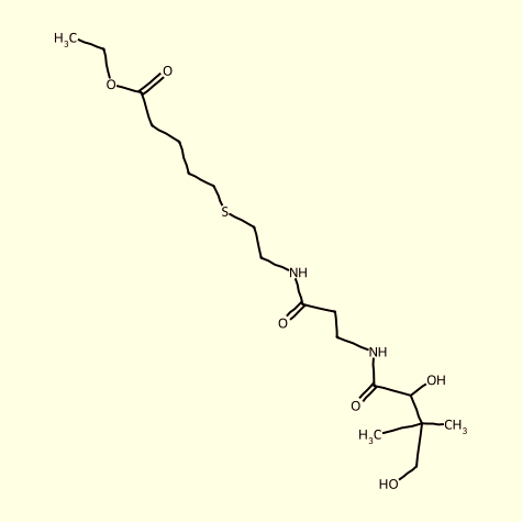 CCOC(=O)CCCCSCCNC(=O)CCNC(=O)C(O)C(C)(C)CO